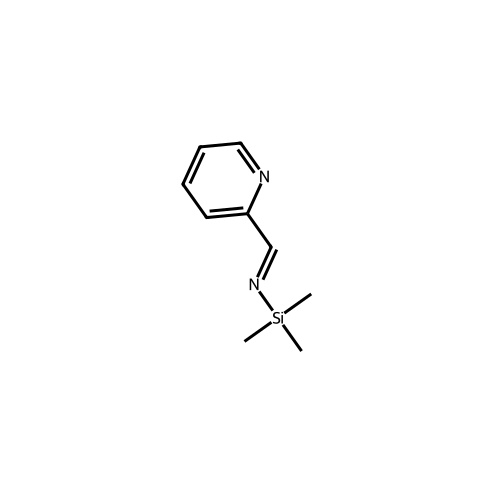 C[Si](C)(C)/N=C/c1ccccn1